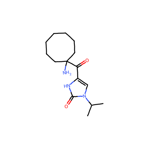 CC(C)n1cc(C(=O)C2(N)CCCCCCC2)[nH]c1=O